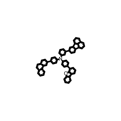 c1cc(-c2ccc3c(c2)-c2cccc4cccc-3c24)cc(N(c2ccc(-c3ccc4ccc5ccccc5c4c3)cc2)c2ccc(-c3cccc4c3oc3ccccc34)cc2)c1